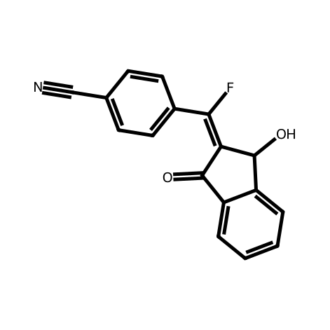 N#Cc1ccc(/C(F)=C2\C(=O)c3ccccc3C2O)cc1